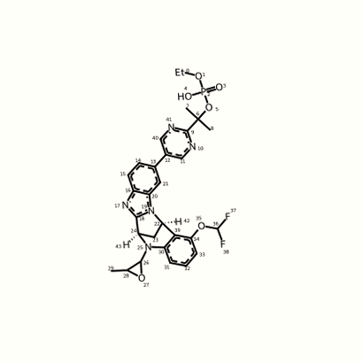 CCOP(=O)(O)OC(C)(C)c1ncc(-c2ccc3nc4n(c3c2)[C@@H]2C[C@H]4N(C3OC3C)c3cccc(OC(F)F)c32)cn1